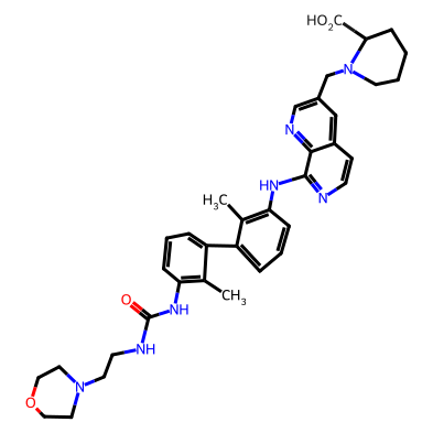 Cc1c(NC(=O)NCCN2CCOCC2)cccc1-c1cccc(Nc2nccc3cc(CN4CCCCC4C(=O)O)cnc23)c1C